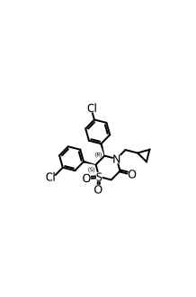 O=C1CS(=O)(=O)[C@@H](c2cccc(Cl)c2)[C@@H](c2ccc(Cl)cc2)N1CC1CC1